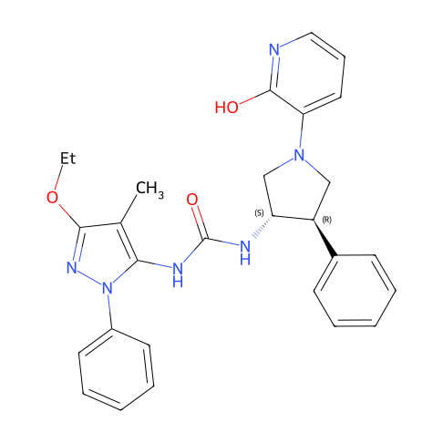 CCOc1nn(-c2ccccc2)c(NC(=O)N[C@@H]2CN(c3cccnc3O)C[C@H]2c2ccccc2)c1C